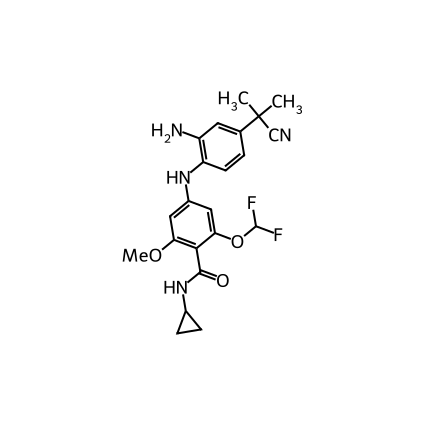 COc1cc(Nc2ccc(C(C)(C)C#N)cc2N)cc(OC(F)F)c1C(=O)NC1CC1